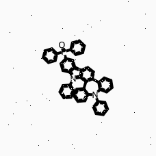 O=P(c1ccccc1)(c1ccccc1)c1ccc2c(c1)c1ccc3c(c1n2-c1ccccc1)-c1ccccc1N(c1ccccc1)c1ccccc1-3